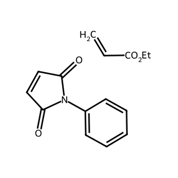 C=CC(=O)OCC.O=C1C=CC(=O)N1c1ccccc1